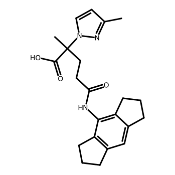 Cc1ccn(C(C)(CCC(=O)Nc2c3c(cc4c2CCC4)CCC3)C(=O)O)n1